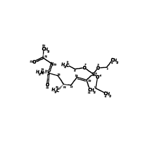 CCO[Si](OCC)(OCC)C(C)=CC[C@H](C)C[S@@](N)(=O)=NC(C)=O